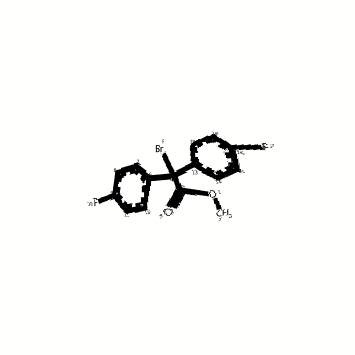 COC(=O)C(Br)(c1ccc(F)cc1)c1ccc(F)cc1